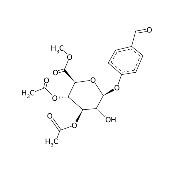 COC(=O)[C@H]1O[C@@H](Oc2ccc(C=O)cc2)[C@H](O)[C@@H](OC(C)=O)[C@@H]1OC(C)=O